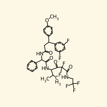 COc1ccc(C(CC(=O)NC(C(=O)NC(C(=O)C(F)(F)C(=O)NCC(F)(F)F)C(C)C)c2ccccc2)c2cc(F)cc(F)c2)cc1